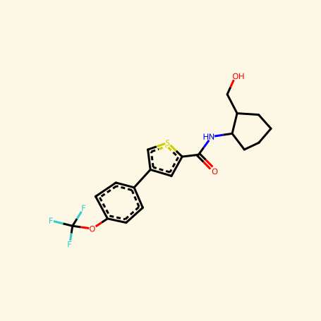 O=C(NC1CCCCC1CO)c1cc(-c2ccc(OC(F)(F)F)cc2)cs1